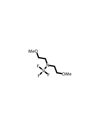 COCCN(CCOC)[Si](F)(F)F